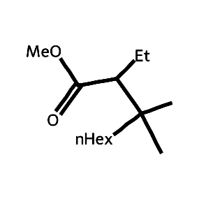 CCCCCCC(C)(C)C(CC)C(=O)OC